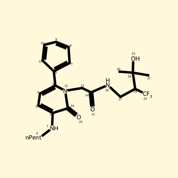 CCCCCNc1ccc(-c2ccccc2)n(CC(=O)NCC(C(C)(C)O)C(F)(F)F)c1=O